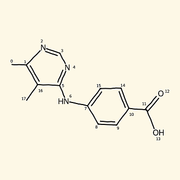 Cc1ncnc(Nc2ccc(C(=O)O)cc2)c1C